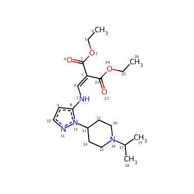 CCOC(=O)C(=CNc1ccnn1C1CCN(C(C)C)CC1)C(=O)OCC